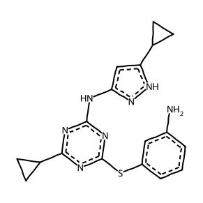 Nc1cccc(Sc2nc(Nc3cc(C4CC4)[nH]n3)nc(C3CC3)n2)c1